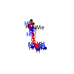 CC[C@H](NC)C(=O)NC1C(=O)N2[C@@H](CC[C@@H]1CCNCc1ccccc1)CC[C@H]2C(=O)N[C@H](C(=O)NCCOCCOCCOCCNC(=O)CCc1cn(C[C@H]2CC[C@H]3CC[C@@H](C(=O)NC(c4ccccc4)c4ccccc4)N3C(=O)[C@H]2NC(=O)[C@H](CC)NC)nn1)c1ccccc1